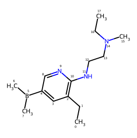 CCc1cc(B(C)C)cnc1NCCN(C)CC